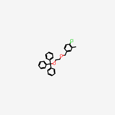 Cc1cc(COCCOC(c2ccccc2)(c2ccccc2)c2ccccc2)ccc1Cl